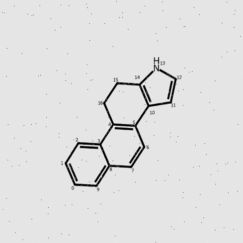 c1ccc2c3c(ccc2c1)-c1cc[nH]c1CC3